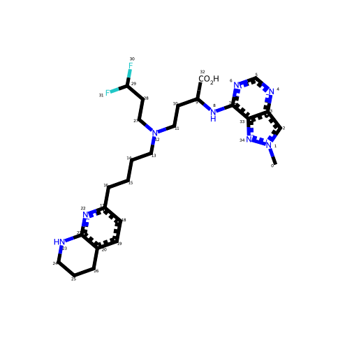 Cn1cc2ncnc(NC(CCN(CCCCc3ccc4c(n3)NCCC4)CCC(F)F)C(=O)O)c2n1